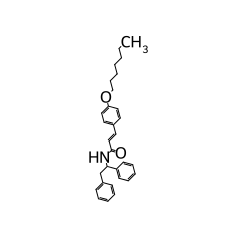 CCCCCCCOc1ccc(/C=C/C(=O)NC(Cc2ccccc2)c2ccccc2)cc1